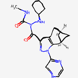 CNC(=O)N(NC1CCC1)C(=O)c1nn(-c2cnccn2)c2c1C[C@H]1C[C@@H]21